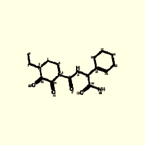 CCN1CCN(C(=O)NC(C([NH])=O)C2=CCCCC2)C(=O)C1=O